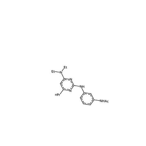 CCCc1cc(N(CC)CC)nc(Nc2cccc(NC(C)=O)c2)n1